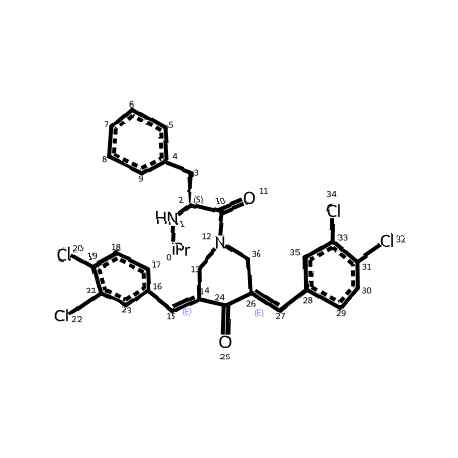 CC(C)N[C@@H](Cc1ccccc1)C(=O)N1C/C(=C\c2ccc(Cl)c(Cl)c2)C(=O)/C(=C/c2ccc(Cl)c(Cl)c2)C1